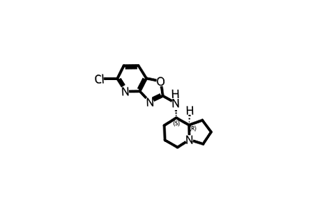 Clc1ccc2oc(N[C@H]3CCCN4CCC[C@H]34)nc2n1